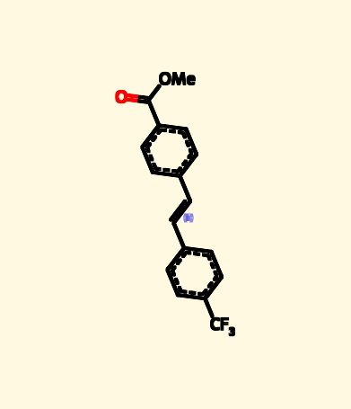 COC(=O)c1ccc(/C=C/c2ccc(C(F)(F)F)cc2)cc1